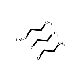 CCC[O-].CCC[O-].CCC[O-].[Ho+3]